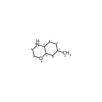 CC1CCC2NCCOC2C1